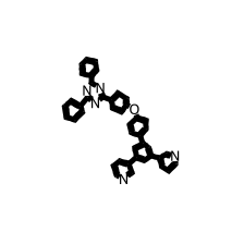 c1ccc(-c2nc(-c3ccccc3)nc(-c3ccc(Oc4ccc(-c5cc(-c6cccnc6)cc(-c6cccnc6)c5)cc4)cc3)n2)cc1